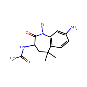 CCN1C(=O)C(NC(=O)C(F)(F)F)CC(C)(C)c2ccc(N)cc21